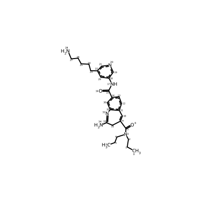 CCCN(CCC)C(=O)C1=Cc2ccc(C(=O)Nc3cncc(CCCCCN)c3)cc2N=C(N)C1